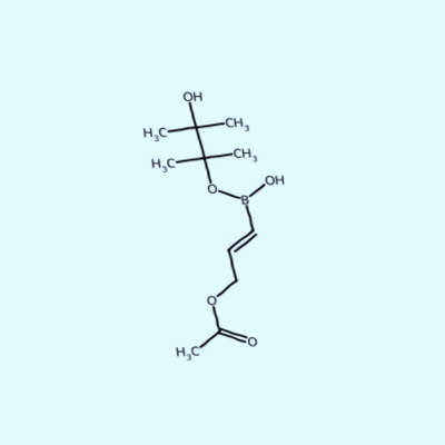 CC(=O)OCC=CB(O)OC(C)(C)C(C)(C)O